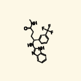 CNC(=O)CCC(Nc1nc2ccccc2[nH]1)c1cccc(C(F)(F)F)c1